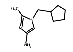 Cc1nc(N)cn1CC1CCCC1